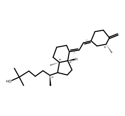 C=C1CC/C(=C/C=C2\CCC[C@]3(C)C([C@@H](C)CCCC(C)(C)O)CC[C@@H]23)C[C@H]1C